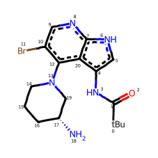 CC(C)(C)C(=O)Nc1c[nH]c2ncc(Br)c(N3CCC[C@@H](N)C3)c12